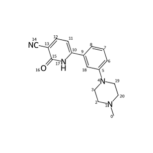 CN1CCN(c2cccc(-c3ccc(C#N)c(=O)[nH]3)c2)CC1